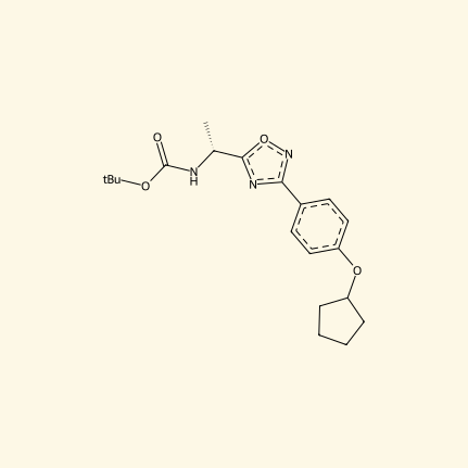 C[C@@H](NC(=O)OC(C)(C)C)c1nc(-c2ccc(OC3CCCC3)cc2)no1